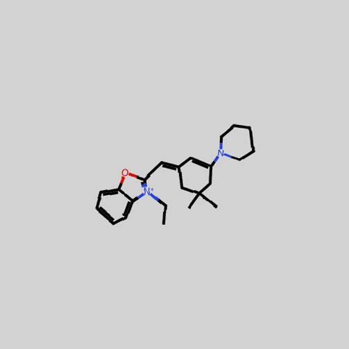 CC[n+]1c(/C=C2/C=C(N3CCCCC3)CC(C)(C)C2)oc2ccccc21